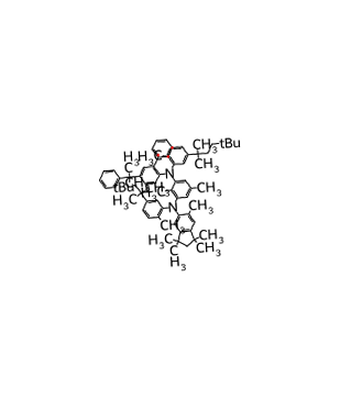 Cc1cc(N(c2cc(C(C)(C)CC(C)(C)C)ccc2C)c2cc3c(cc2C)C(C)(C)CC3(C)C)c(C)c(N(c2cc(C(C)(C)CCC(C)(C)C)ccc2C)c2ccc(C(C)(C)c3ccccc3)cc2-c2ccccc2)c1